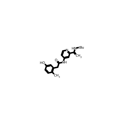 C=C(NC(C)(C)C)c1cc(NC(=O)Cc2cc(O)ccc2C)ccn1